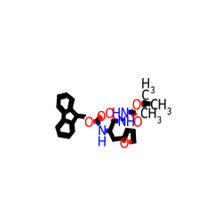 CC(C)(C)OC(=O)NNC(=O)C(Cc1ccco1)NC(=O)OCC1c2ccccc2-c2ccccc21